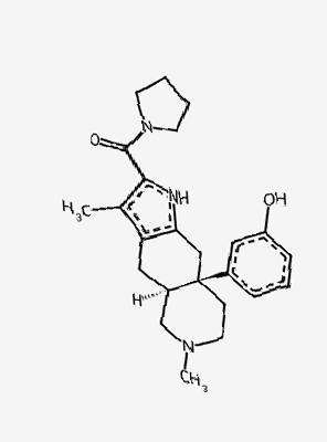 Cc1c(C(=O)N2CCCC2)[nH]c2c1C[C@@H]1CN(C)CC[C@@]1(c1cccc(O)c1)C2